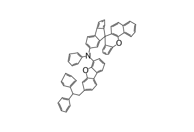 c1ccc(C(Cc2ccc3c(c2)oc2c(N(c4ccccc4)c4ccc5c(c4)C4(c6ccccc6Oc6c4ccc4ccccc64)c4ccccc4-5)cccc23)c2ccccc2)cc1